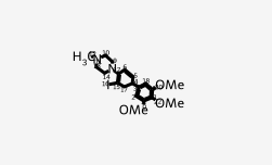 COc1cc(C2C=CC(N3CCN(C)CC3)=C(I)C2)cc(OC)c1OC